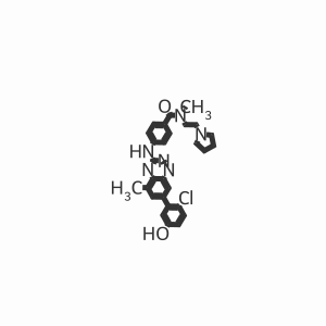 Cc1cc(-c2cc(O)ccc2Cl)cc2nnc(Nc3ccc(C(=O)N(C)CCN4CCCC4)cc3)nc12